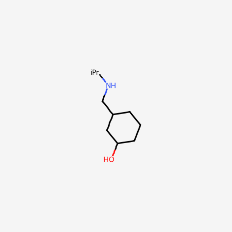 CC(C)NCC1CCCC(O)C1